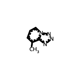 Cc1cccn2nnnc12